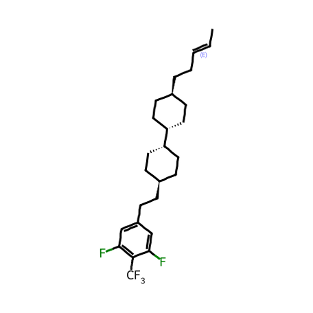 C/C=C/CC[C@H]1CC[C@H]([C@H]2CC[C@H](CCc3cc(F)c(C(F)(F)F)c(F)c3)CC2)CC1